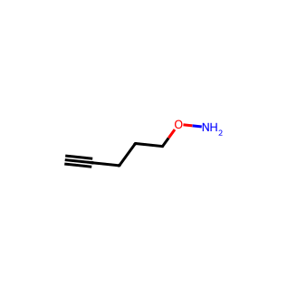 C#CCCCON